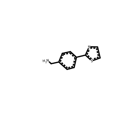 NCc1ccc(-c2nccs2)cc1